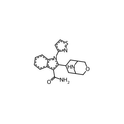 NC(=O)c1c(C2CC3COCC(C2)N3)n(-c2ccsn2)c2ccccc12